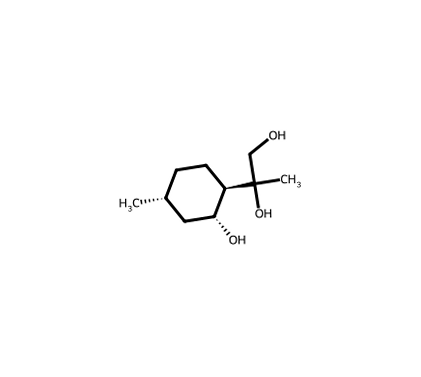 C[C@@H]1CC[C@@H](C(C)(O)CO)[C@H](O)C1